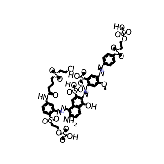 COc1cc(/N=N/c2c(S(=O)(=O)O)cc3c(/N=N/c4cc(NC(=O)CCCS(=O)(=O)CCCl)ccc4S(=O)(=O)CCOS(=O)(=O)O)c(N)ccc3c2O)c(S(=O)(=O)O)cc1/N=N/c1ccc(S(=O)(=O)CCOS(=O)(=O)O)cc1